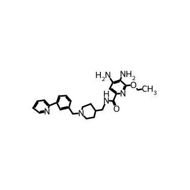 CCOc1nc(C(=O)NCC2CCN(Cc3cccc(-c4ccccn4)c3)CC2)cc(N)c1N